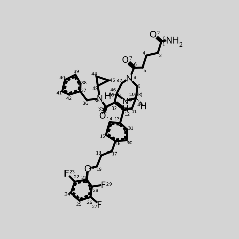 NC(=O)CCCC(=O)N1C[C@H]2CC(c3ccc(CCCOc4c(F)ccc(F)c4F)cc3)=C(C(=O)N(Cc3ccccc3)C3CC3)[C@@H](C1)N2